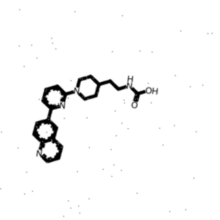 O=C(O)NCCC1CCN(c2cccc(-c3ccc4ncccc4c3)n2)CC1